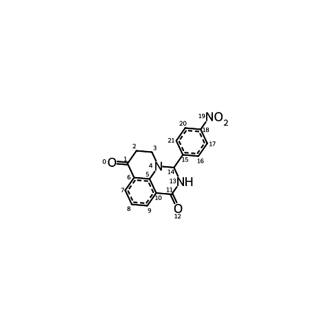 O=C1CCN2c3c1cccc3C(=O)NC2c1ccc([N+](=O)[O-])cc1